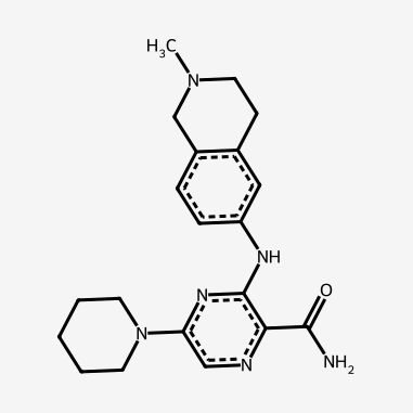 CN1CCc2cc(Nc3nc(N4CCCCC4)cnc3C(N)=O)ccc2C1